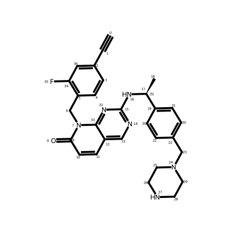 C#Cc1ccc(Cn2c(=O)ccc3cnc(N[C@@H](C)c4ccc(CN5CCNCC5)cc4)nc32)c(F)c1